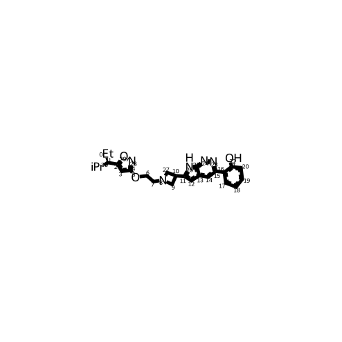 CC[C@@H](c1cc(OCCN2CC(c3cc4cc(-c5ccccc5O)nnc4[nH]3)C2)no1)C(C)C